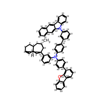 C[C@H]1CC2CCC3=C[C@@H]2CC3(c2cccc(N(c3ccc(-c4cccc(-n5c6ccccc6c6cc7ccccc7cc65)c4)cc3)c3ccc(-c4cccc5c4oc4ccccc45)cc3)c2)C1